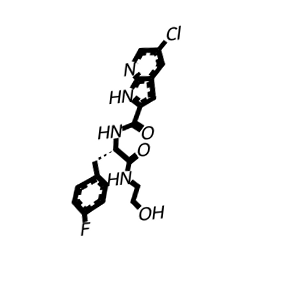 O=C(N[C@@H](Cc1ccc(F)cc1)C(=O)NCCO)c1cc2cc(Cl)cnc2[nH]1